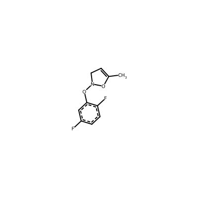 CC1=CCN(Oc2cc(F)ccc2F)O1